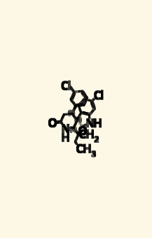 C=C(CC)[C@H]1NC(=O)C[C@@H](c2cccc(Cl)c2)[C@]12C(=O)Nc1cc(Cl)ccc12